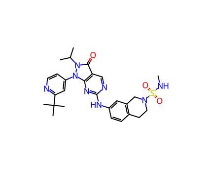 CNS(=O)(=O)N1CCc2ccc(Nc3ncc4c(=O)n(C(C)C)n(-c5ccnc(C(C)(C)C)c5)c4n3)cc2C1